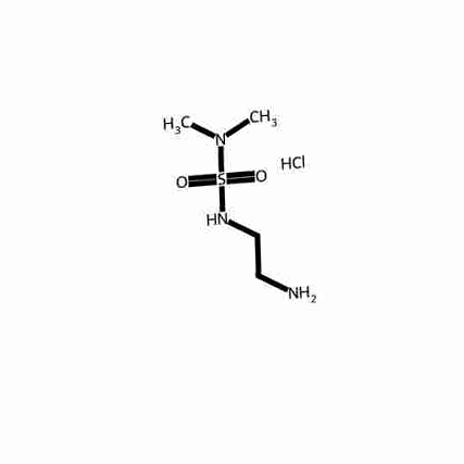 CN(C)S(=O)(=O)NCCN.Cl